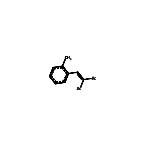 CC(=O)C(=Cc1ccccc1C)C(C)=O